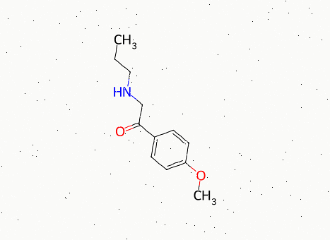 CCCNCC(=O)c1ccc(OC)cc1